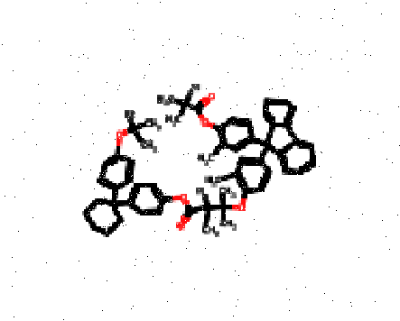 CCC(C)(C)Oc1ccc(C2(c3ccc(OC(=O)C(C)(CC)C(C)(C)Oc4ccc(C5(c6ccc(OC(=O)C(C)(C)CC)c(C)c6)c6ccccc6-c6ccccc65)cc4C)cc3)CCCCC2)cc1